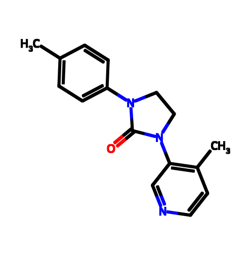 Cc1ccc(N2CCN(c3cnccc3C)C2=O)cc1